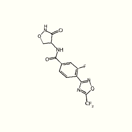 O=C(NC1CONC1=O)c1ccc(-c2noc(C(F)(F)F)n2)c(F)c1